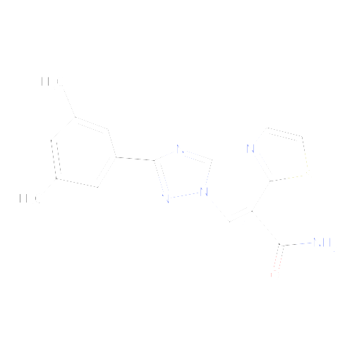 Cc1cc(C)cc(-c2ncn(/C=C(/C(N)=O)c3nccs3)n2)c1